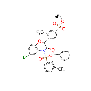 CCCOS(=O)(=O)c1ccc(C2Oc3ccc(Br)cc3N(S(=O)(=O)c3cccc(C(F)(F)F)c3)[C@@H]2OCc2ccccc2)c(C(F)(F)F)c1